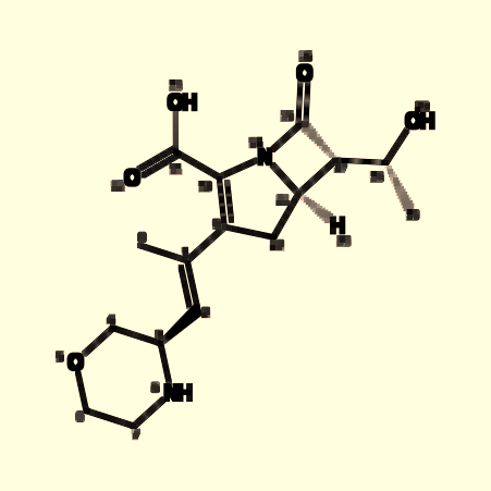 CC(=C[C@@H]1COCCN1)C1=C(C(=O)O)N2C(=O)[C@H]([C@@H](C)O)[C@H]2C1